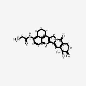 CC[C@@]1(O)C(=O)OCc2c1cc1n(c2=O)Cc2c-1nc1ccc(NC(=O)CN)c3c1c2CCC3